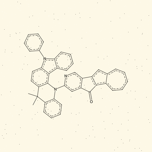 CC1(C)c2ccccc2N(c2cc3c(cn2)-c2cc4cccccc-4c2C3=O)c2c1ccc1c2c2ccccc2n1-c1ccccc1